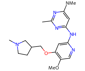 CNc1cc(Nc2cc(OCC3CCN(C)C3)c(OC)cn2)nc(C)n1